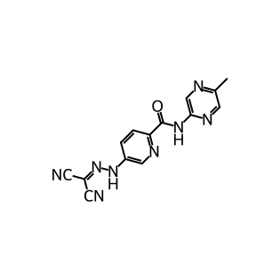 Cc1cnc(NC(=O)c2ccc(NN=C(C#N)C#N)cn2)cn1